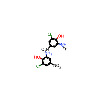 CCNc1cc([N+](=O)[O-])cc(Cl)c1O.Nc1cc([N+](=O)[O-])cc(Cl)c1O